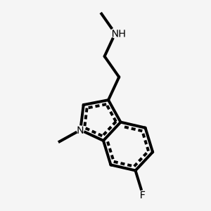 CNCCc1cn(C)c2cc(F)ccc12